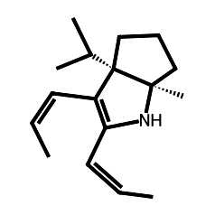 C/C=C\C1=C(/C=C\C)[C@@]2(C(C)C)CCC[C@@]2(C)N1